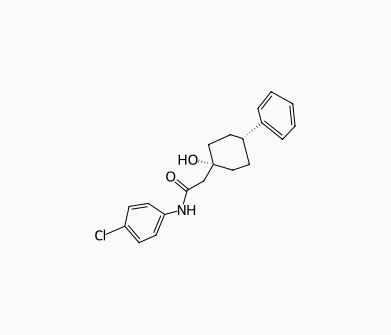 O=C(C[C@]1(O)CC[C@@H](c2ccccc2)CC1)Nc1ccc(Cl)cc1